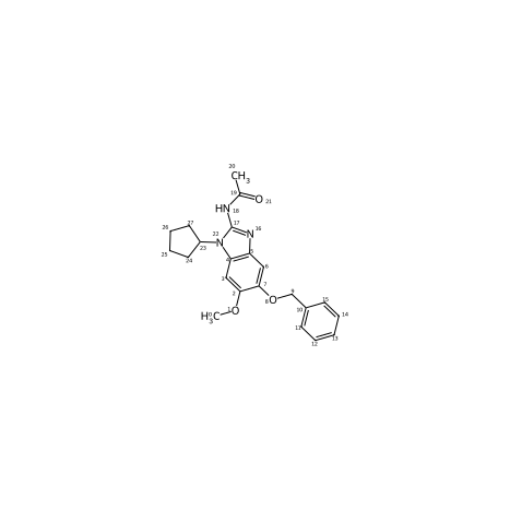 COc1cc2c(cc1OCc1ccccc1)nc(NC(C)=O)n2C1CCCC1